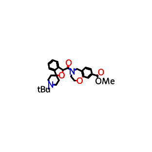 COC(=O)c1ccc2c(c1)OCCN(C(=O)C1OC3(CCN(C(C)(C)C)CC3)c3ccccc31)C2